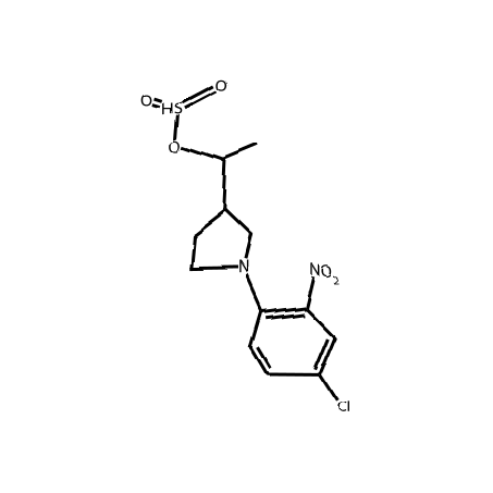 CC(O[SH](=O)=O)C1CCN(c2ccc(Cl)cc2[N+](=O)[O-])C1